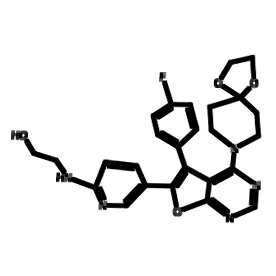 OCCNc1ccc(-c2oc3ncnc(N4CCC5(CC4)OCCO5)c3c2-c2ccc(F)cc2)cn1